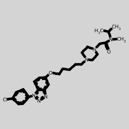 CC(C)N(C)C(=O)CN1CCN(CCCCCOc2ccc3c(c2)nnn3-c2ccc(Cl)cc2)CC1